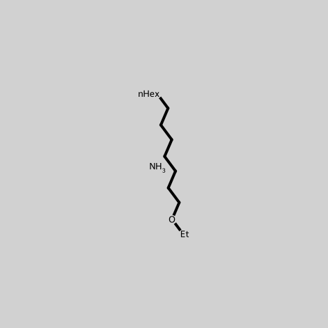 CCCCCCCCCCCCCOCC.N